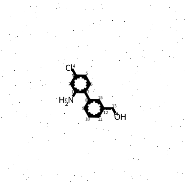 Nc1cc(Cl)ccc1-c1cccc(CO)c1